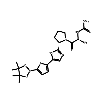 COC(=O)N[C@H](C(=O)N1CCC[C@H]1c1ncc(-c2ccc(B3OC(C)(C)C(C)(C)O3)s2)[nH]1)C(C)C